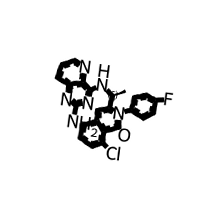 C[C@H](Nc1nc(N)nc2cccnc12)c1cc2cccc(Cl)c2c(=O)n1-c1ccc(F)cc1